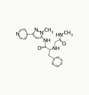 CNC(=O)CNC(Cc1ccccc1)C(=O)Nc1cc(-c2ccncc2)nn1C